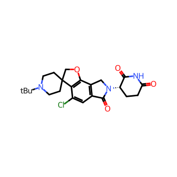 CC(C)(C)N1CCC2(CC1)COc1c3c(cc(Cl)c12)C(=O)N([C@H]1CCC(=O)NC1=O)C3